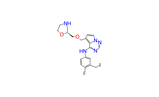 Fc1ccc(Nc2ncnn3ccc(COC[C@@H]4CNCCO4)c23)cc1CI